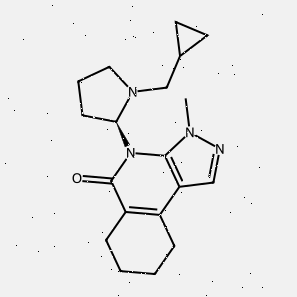 Cn1ncc2c3c(c(=O)n([C@H]4CCCN4CC4CC4)c21)CCCC3